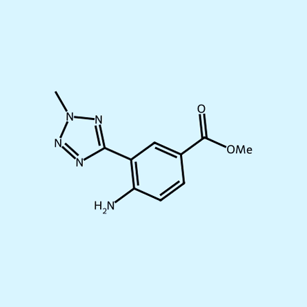 COC(=O)c1ccc(N)c(-c2nnn(C)n2)c1